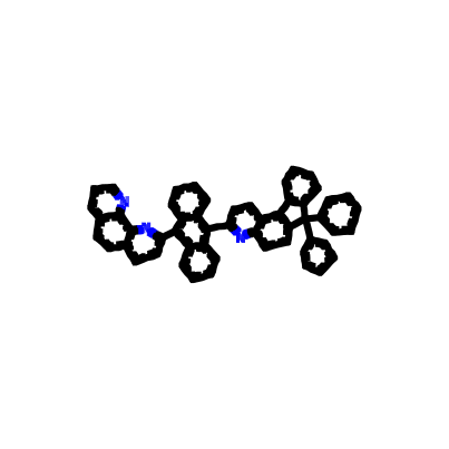 c1ccc(C2(c3ccccc3)c3ccccc3-c3c2ccc2nc(-c4c5ccccc5c(-c5ccc6ccc7cccnc7c6n5)c5ccccc45)ccc32)cc1